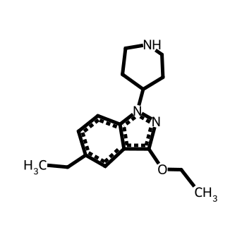 CCOc1nn(C2CCNCC2)c2ccc(CC)cc12